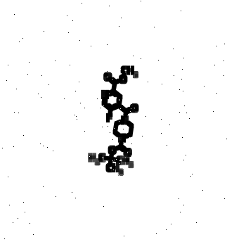 COC(=O)c1cc(C(=O)N2CCN(C(=O)OC(C)(C)C)CC2)c(F)cn1